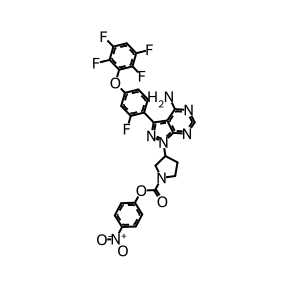 Nc1ncnc2c1c(-c1ccc(Oc3c(F)c(F)cc(F)c3F)cc1F)nn2C1CCN(C(=O)Oc2ccc([N+](=O)[O-])cc2)C1